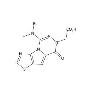 CCN(C)c1nn(CC(=O)O)c(=O)c2cc3scnc3n12